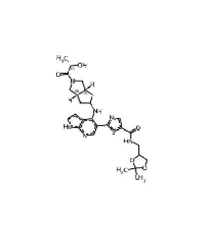 C[C@H](O)C(=O)N1C[C@H]2CC(Nc3c(-c4ncc(C(=O)NCC5COC(C)(C)O5)s4)cnc4[nH]ccc34)C[C@H]2C1